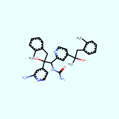 Cc1ccccc1CC(C)(O)c1ccnc(C(NC(N)=O)C(O)(Cc2ccccc2C)c2ccnc(N)c2)c1